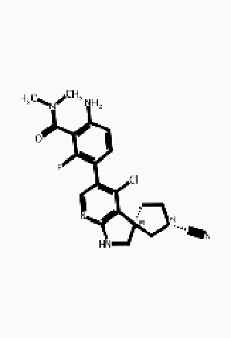 CN(C)C(=O)c1c(N)ccc(-c2cnc3c(c2Cl)[C@]2(CC[C@H](C#N)C2)CN3)c1F